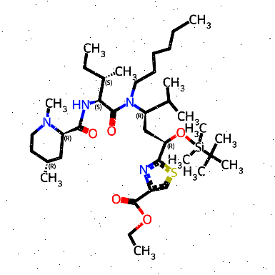 CCCCCCN(C(=O)[C@@H](NC(=O)[C@H]1C[C@H](C)CCN1C)[C@@H](C)CC)[C@H](C[C@@H](O[Si](C)(C)C(C)(C)C)c1nc(C(=O)OCC)cs1)C(C)C